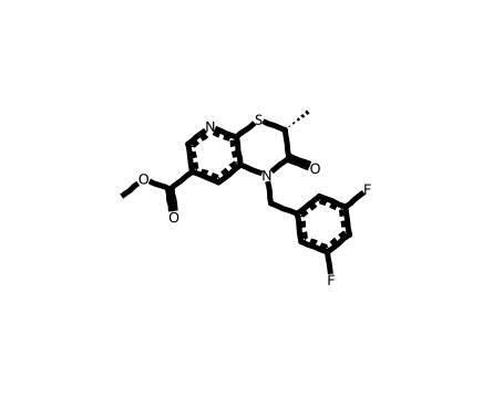 COC(=O)c1cnc2c(c1)N(Cc1cc(F)cc(F)c1)C(=O)[C@@H](C)S2